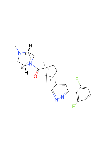 CN1C[C@@H]2C[C@H]1CN2C(=O)[C@@]1(C)CC[C@H](c2cnnc(-c3c(F)cccc3F)c2)C1(C)C